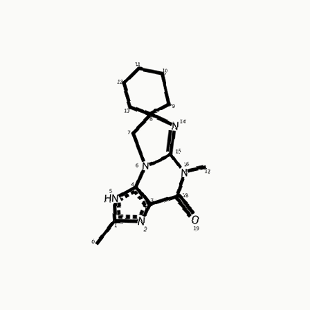 Cc1nc2c([nH]1)N1CC3(C[CH]CCC3)N=C1N(C)C2=O